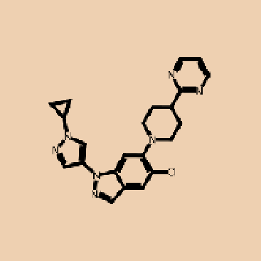 Clc1cc2cnn(-c3cnn(C4CC4)c3)c2cc1N1CCC(c2ncccn2)CC1